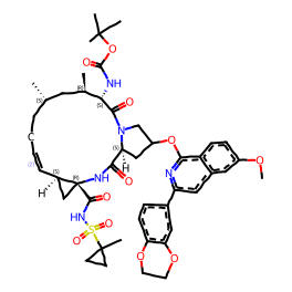 COc1ccc2c(OC3C[C@H]4C(=O)N[C@]5(C(=O)NS(=O)(=O)C6(C)CC6)C[C@H]5/C=C\CC[C@H](C)C[C@@H](C)[C@H](NC(=O)OC(C)(C)C)C(=O)N4C3)nc(-c3ccc4c(c3)OCCO4)cc2c1